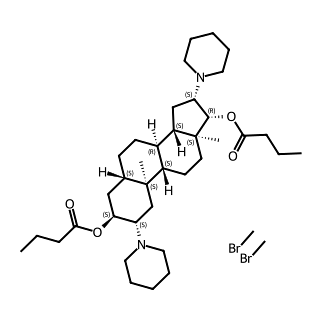 CBr.CBr.CCCC(=O)O[C@H]1C[C@@H]2CC[C@@H]3[C@H](CC[C@@]4(C)[C@H]3C[C@H](N3CCCCC3)[C@@H]4OC(=O)CCC)[C@@]2(C)C[C@@H]1N1CCCCC1